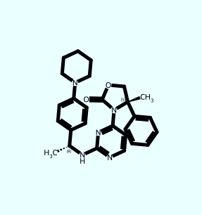 C[C@@H](Nc1nccc(N2C(=O)OC[C@]2(C)c2ccccc2)n1)c1ccc(N2CCCCC2)cc1